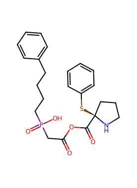 O=C(CP(=O)(O)CCCCc1ccccc1)OC(=O)[C@]1(Sc2ccccc2)CCCN1